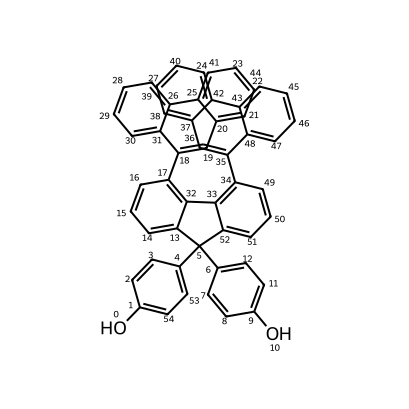 Oc1ccc(C2(c3ccc(O)cc3)c3cccc(-c4cc5ccccc5c5ccccc45)c3-c3c(-c4cc5ccccc5c5ccccc45)cccc32)cc1